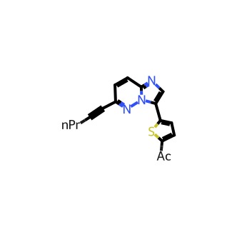 CCCC#Cc1ccc2ncc(-c3ccc(C(C)=O)s3)n2n1